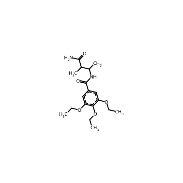 CCOc1cc(C(=O)NC(C)C(C)C(N)=O)cc(OCC)c1OCC